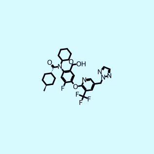 C[C@H]1CC[C@H](C(=O)N(c2cc(F)c(Oc3ncc(Cn4nccn4)cc3C(F)(F)F)cc2C(=O)O)C2CCCCC2)CC1